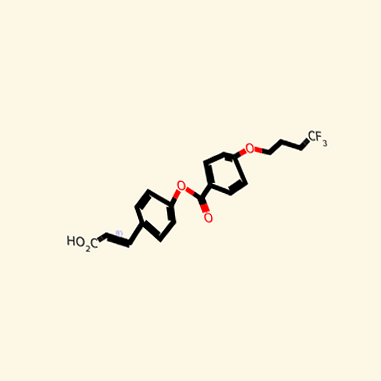 O=C(O)/C=C/c1ccc(OC(=O)c2ccc(OCCCC(F)(F)F)cc2)cc1